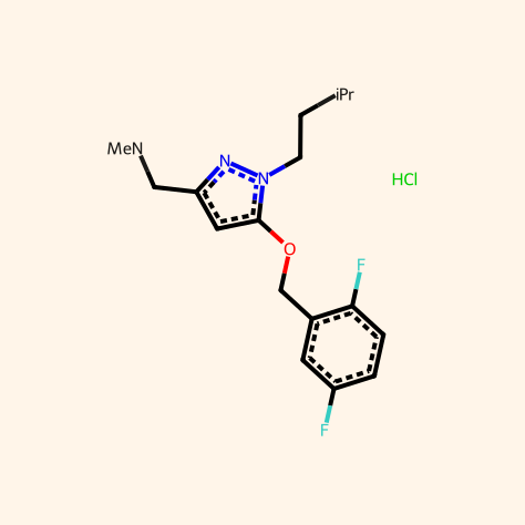 CNCc1cc(OCc2cc(F)ccc2F)n(CCC(C)C)n1.Cl